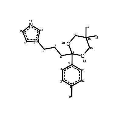 Cc1ccc(C2(CCCn3ccnc3)OCC(C)(C)CO2)cc1